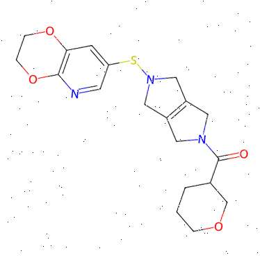 O=C(C1CCCOC1)N1CC2=C(CN(Sc3cnc4c(c3)OCCO4)C2)C1